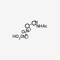 CC(=O)Nc1cc(-c2cccc3c2CCN3C(=O)[C@@H]2CCCN2C(=O)O)ccn1